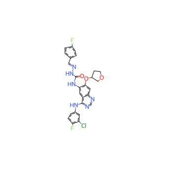 O=C(N/N=C/c1ccc(F)cc1)Nc1cc2c(Nc3ccc(F)c(Cl)c3)ncnc2cc1OC1CCOC1